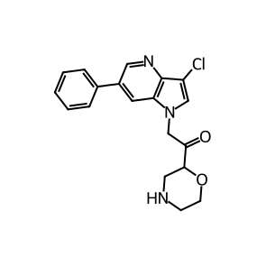 O=C(Cn1cc(Cl)c2ncc(-c3ccccc3)cc21)C1CNCCO1